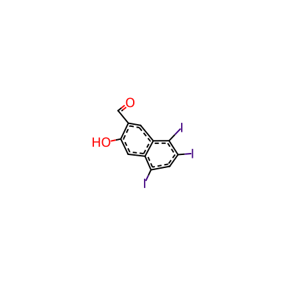 O=Cc1cc2c(I)c(I)cc(I)c2cc1O